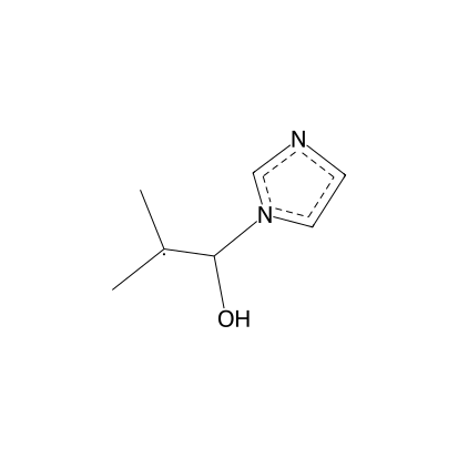 C[C](C)C(O)n1ccnc1